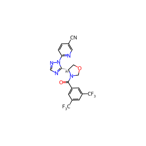 N#Cc1ccc(-n2ncnc2[C@@H]2COCN2C(=O)c2cc(C(F)(F)F)cc(C(F)(F)F)c2)nc1